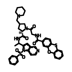 CC(NC(=O)[C@@H]1CC(CN2CCCCC2)CN1C(=O)CNC(=O)c1ccc2c(c1)Oc1ccccc1S2)c1cc2cnccc2n1S(=O)(=O)c1ccccc1